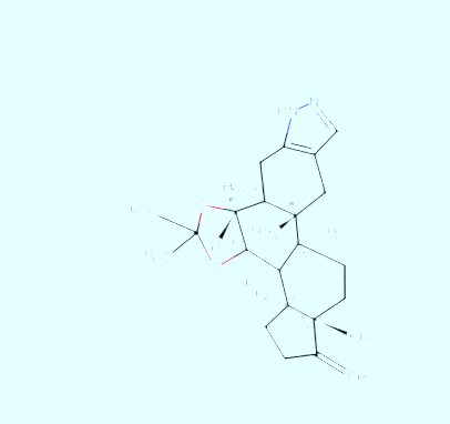 C=C1CC[C@H]2C3[C@H]4OC(C)(C)O[C@@H]4[C@H]4Cc5[nH]ncc5C[C@]4(C)[C@H]3CC[C@]12C